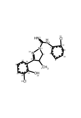 CC1CN(C(=N)Nc2ccccc2Cl)N=C1c1cccc(Cl)c1O